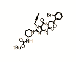 CC#CCn1c(N2CCC[C@@H](NC(=O)OC(C)(C)C)C2)nc2c1c(=O)n(CC(=O)c1ccccc1Br)c(=O)n2C